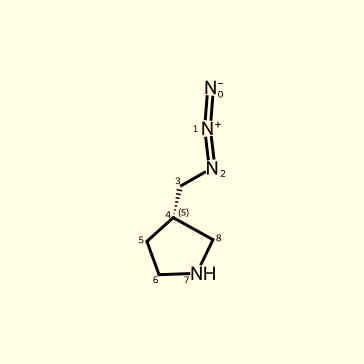 [N-]=[N+]=NC[C@H]1CCNC1